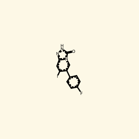 O=c1[nH]nc2cc(I)c(-c3ccc(F)cc3)cn12